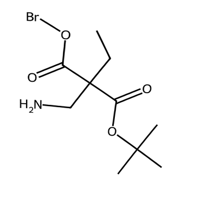 CCC(CN)(C(=O)OBr)C(=O)OC(C)(C)C